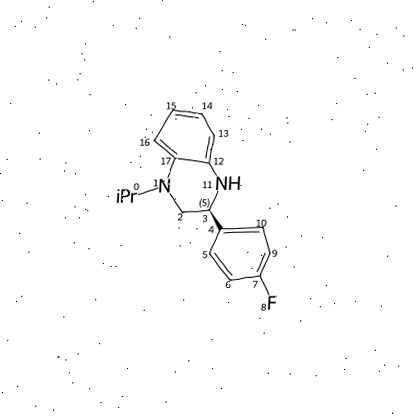 CC(C)N1C[C@H](c2ccc(F)cc2)Nc2ccccc21